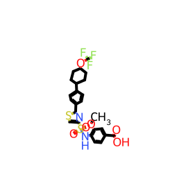 COc1cc(C(=O)O)ccc1NS(=O)(=O)c1csc(-c2ccc(C3CCC(OC(F)(F)F)CC3)cc2)n1